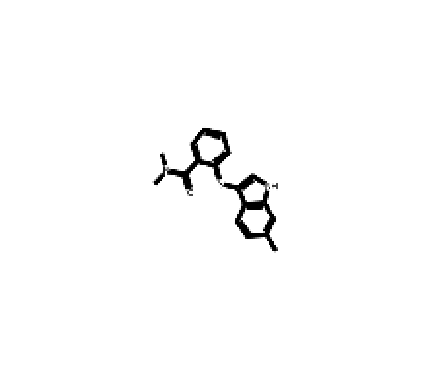 Cc1ccc2c(Sc3ccccc3C(=O)N(C)C)c[nH]c2c1